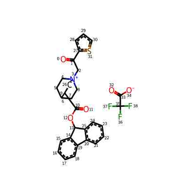 O=C(C[N+]12CCC(CC1)C(C(=O)OC1c3ccccc3-c3ccccc31)C2)c1cccs1.O=C([O-])C(F)(F)F